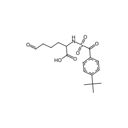 CC(C)(C)c1ccc(C(=O)S(=O)(=O)NC(CCC[C]=O)C(=O)O)cc1